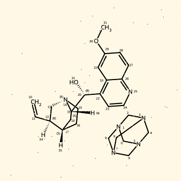 C1N2CN3CN1CN(C2)C3.C=C[C@H]1C[N@]2CC[C@H]1C[C@H]2[C@H](O)c1ccnc2ccc(OC)cc12